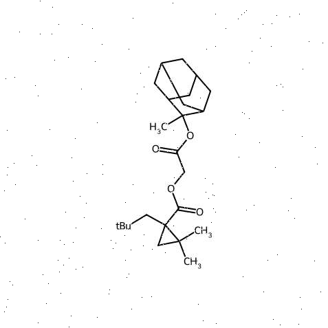 CC(C)(C)CC1(C(=O)OCC(=O)OC2(C)C3CC4CC(C3)CC2C4)CC1(C)C